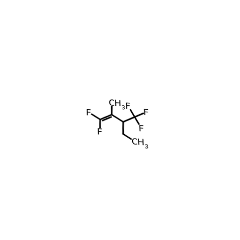 CCC(C(C)=C(F)F)C(F)(F)F